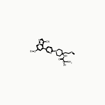 C=NCCC1(NC(=O)[C@@H](N)C(C)C)CCN(c2ccc(-c3cc(OCC)cn4ncc(C#N)c34)cn2)CC1